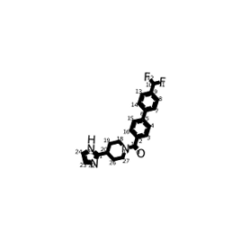 O=C(c1ccc(-c2ccc(C(F)F)cc2)cc1)N1CCC(c2ncc[nH]2)CC1